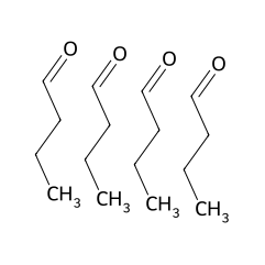 CCCC=O.CCCC=O.CCCC=O.CCCC=O